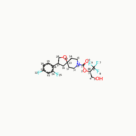 O=C(O[C@H](CO)C(F)(F)F)N1CCC2(CC1)CC(c1ccc(F)cc1F)CO2